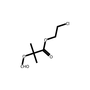 CC(C)(OC=O)C(=O)OCCCl